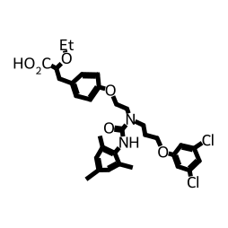 CCOC(Cc1ccc(OCCN(CCCOc2cc(Cl)cc(Cl)c2)C(=O)Nc2c(C)cc(C)cc2C)cc1)C(=O)O